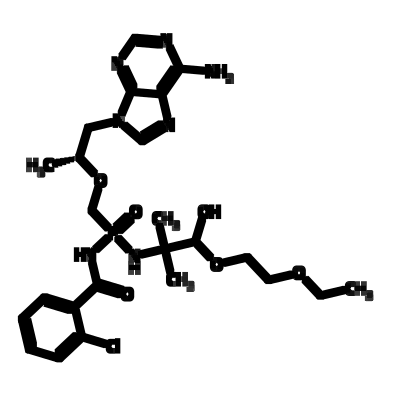 CCOCCOC(O)C(C)(C)NP(=O)(CO[C@H](C)Cn1cnc2c(N)ncnc21)NC(=O)c1ccccc1Cl